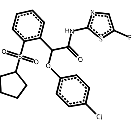 O=C(Nc1ncc(F)s1)C(Oc1ccc(Cl)cc1)c1ccccc1S(=O)(=O)C1CCCC1